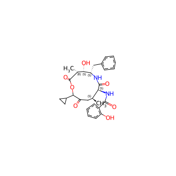 C[C@H]1CC(=O)C(C2CC2)OC(=O)[C@H](C)[C@H](O)[C@H](Cc2ccccc2)NC(=O)[C@H]1NC(=O)c1ccccc1O